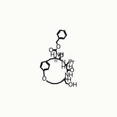 CC(C)[C@@H]1NC(=O)[C@@H](NC(=O)OCc2ccccc2)Cc2ccc(cc2)OCCCC[C@@H](CO)NC1=O